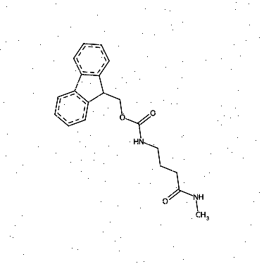 CNC(=O)CCCNC(=O)OCC1c2ccccc2-c2ccccc21